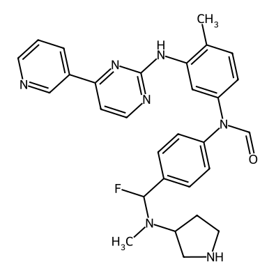 Cc1ccc(N(C=O)c2ccc(C(F)N(C)C3CCNC3)cc2)cc1Nc1nccc(-c2cccnc2)n1